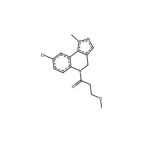 COCCC(=O)N1Cc2cnn(C)c2-c2cc(Cl)ccc21